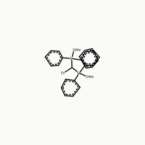 CCC([Si](OC)(c1ccccc1)c1ccccc1)[Si](OC)(c1ccccc1)c1ccccc1